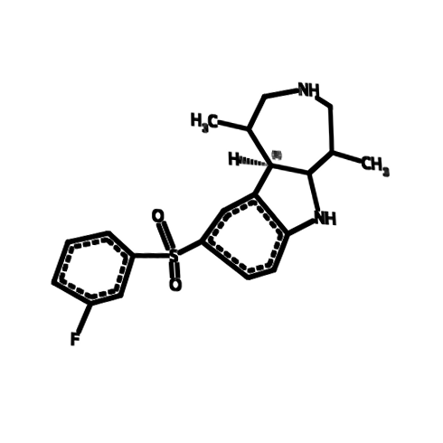 CC1CNCC(C)[C@@H]2c3cc(S(=O)(=O)c4cccc(F)c4)ccc3NC12